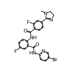 CN1CCN=C1c1ccc(C(=O)Nc2ccc(F)cc2C(=O)Nc2ccc(Br)cn2)c(F)c1